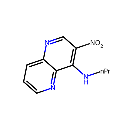 CCCNc1c([N+](=O)[O-])cnc2cccnc12